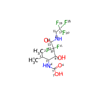 CC(C)C(NC(=O)O)C(O)C(F)(F)C(=O)NCC(F)(F)F